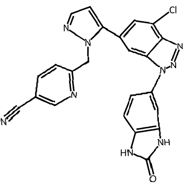 N#Cc1ccc(Cn2nccc2-c2cc(Cl)c3nnn(-c4ccc5[nH]c(=O)[nH]c5c4)c3c2)nc1